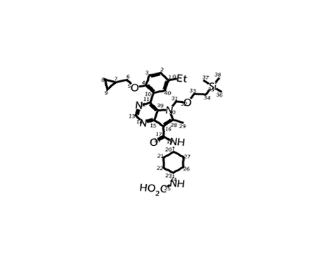 CCc1ccc(OCC2CC2)c(-c2ncnc3c(C(=O)N[C@H]4CC[C@@H](NC(=O)O)CC4)c(C)n(COCC[Si](C)(C)C)c23)c1